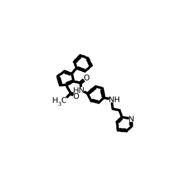 CC(=O)c1cccc(-c2ccccc2)c1C(=O)Nc1ccc(NCCc2ccccn2)cc1